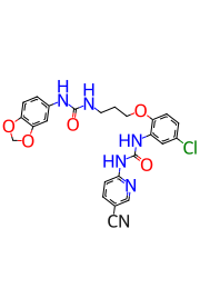 N#Cc1ccc(NC(=O)Nc2cc(Cl)ccc2OCCCNC(=O)Nc2ccc3c(c2)OCO3)nc1